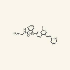 C#CCNC(=O)c1ccccc1Nc1ccc2c(C=Cc3ccccn3)n[nH]c2c1